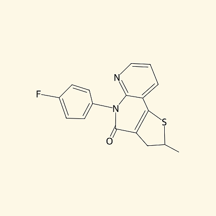 CC1Cc2c(c3cccnc3n(-c3ccc(F)cc3)c2=O)S1